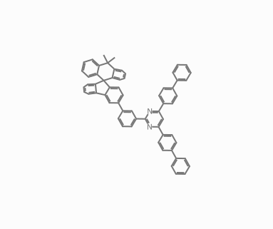 CC1(C)c2ccccc2C2(c3ccccc3-c3cc(-c4cccc(-c5nc(-c6ccc(-c7ccccc7)cc6)cc(-c6ccc(-c7ccccc7)cc6)n5)c4)ccc32)c2ccccc21